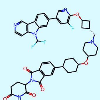 O=C1CCC(N2C(=O)c3ccc(C4CCC(OC5CCN(C[C@H]6C[C@H](Oc7ncc(-c8ccc9c%10cnccc%10n(C(F)F)c9c8)cc7F)C6)CC5)CC4)cc3C2=O)C(=O)N1